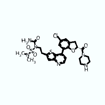 CN(C)S(=O)(=O)N(CCc1cc2nccc(-c3cc(Cl)cc4c3O[C@@H](C(=O)N3CCNCC3)C4)c2s1)C(N)=O